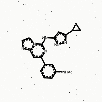 CC(=O)Nc1cccc(-c2cc3nccn3c(Nc3cc(C4CC4)n[nH]3)n2)c1